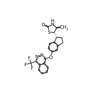 C=C1NC(=O)SC1[C@@H]1CCc2cc(Oc3nnc(C(F)(F)F)c4ccccc34)ccc21